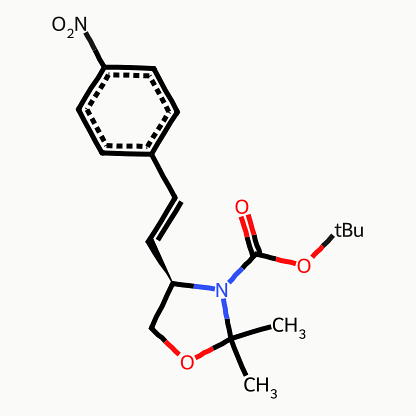 CC(C)(C)OC(=O)N1[C@H](/C=C/c2ccc([N+](=O)[O-])cc2)COC1(C)C